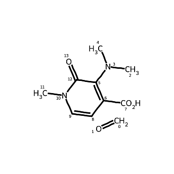 C=O.CN(C)c1c(C(=O)O)ccn(C)c1=O